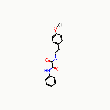 COc1ccc(CCNC(=O)C(=O)Nc2ccccc2)cc1